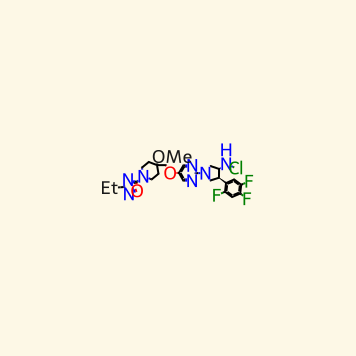 CCc1noc(N2CCC(COc3cnc(N4C[C@H](NCl)[C@@H](c5cc(F)c(F)cc5F)C4)nc3)(OC)CC2)n1